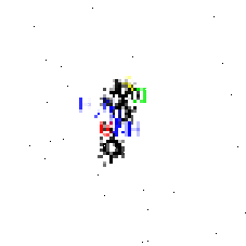 Cc1ccc(C(=O)Nc2ccc(-c3c(C)csc3Cl)c(N)n2)cc1